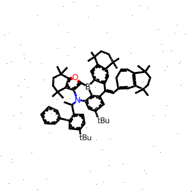 CC(c1ccc(C(C)(C)C)cc1-c1ccccc1)N1c2cc(C(C)(C)C)cc3c2B(c2cc4c(cc2/C3=C\C2=CC3=C(C=CC2)C(C)(C)CCC3(C)C)C(C)(C)CCC4(C)C)c2oc3c(c21)C(C)(C)CCC3(C)C